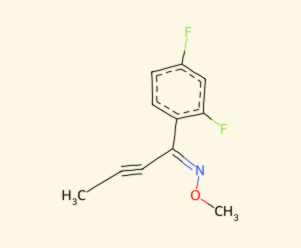 CC#CC(=NOC)c1ccc(F)cc1F